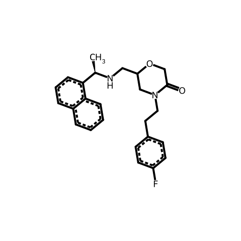 C[C@@H](NCC1CN(CCc2ccc(F)cc2)C(=O)CO1)c1cccc2ccccc12